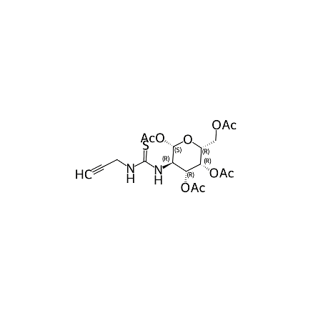 C#CCNC(=S)N[C@H]1[C@H](OC(C)=O)O[C@H](COC(C)=O)[C@H](OC(C)=O)[C@@H]1OC(C)=O